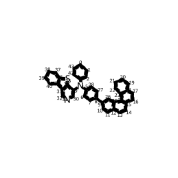 c1ccc(N(c2ccc(-c3ccc4ccc5ccc6ccccc6c5c4c3)cc2)c2cncc3c2sc2ccccc23)cc1